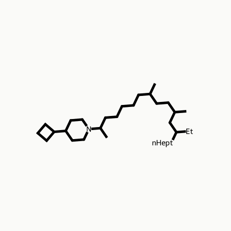 CCCCCCCC(CC)CC(C)CCC(C)CCCCCC(C)N1CCC(C2CCC2)CC1